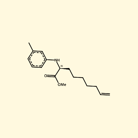 C=CCCCCC[C@H](Nc1cccc(C)c1)C(=O)OC